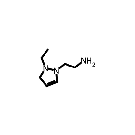 CCN1CC=CN1CCN